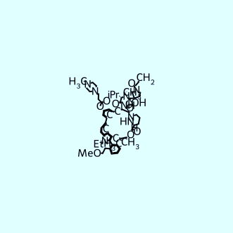 C=CC(=O)N1CC[C@](O)(C(=O)N(C)[C@H](C(=O)N[C@H]2Cc3cc(OC(=O)CCN4CCN(C)CC4)cc(c3)-c3ccc4c(c3)c(c(-c3ccccc3CCOC)n4CC)CC(C)(C)COC(=O)[C@@H]3CCCN(N3)C2=O)C(C)C)C1